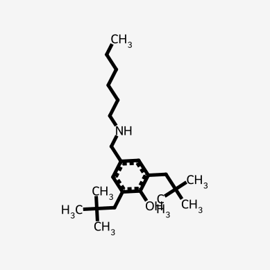 CCCCCCNCc1cc(CC(C)(C)C)c(O)c(CC(C)(C)C)c1